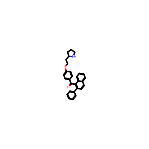 O=C(c1ccc(OCCC2CCCN2)cc1)c1c(-c2ccccc2)ccc2ccccc12